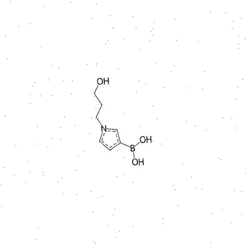 OCCCn1ccc(B(O)O)c1